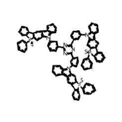 S=P1(c2ccccc2)c2ccccc2-c2cc3c4ccccc4n(-c4cccc(-c5nc(-c6cccc(-n7c8ccccc8c8cc9c(cc87)P(=S)(c7ccccc7)c7ccccc7-9)c6)nc(-c6cccc(-n7c8ccccc8c8cc9c(cc87)P(=S)(c7ccccc7)c7ccccc7-9)c6)n5)c4)c3cc21